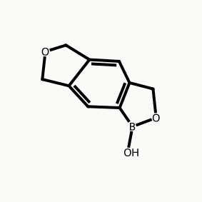 OB1OCc2cc3c(cc21)COC3